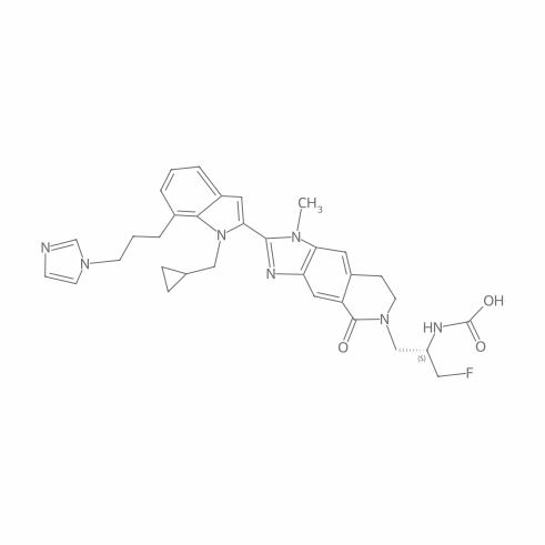 Cn1c(-c2cc3cccc(CCCn4ccnc4)c3n2CC2CC2)nc2cc3c(cc21)CCN(C[C@@H](CF)NC(=O)O)C3=O